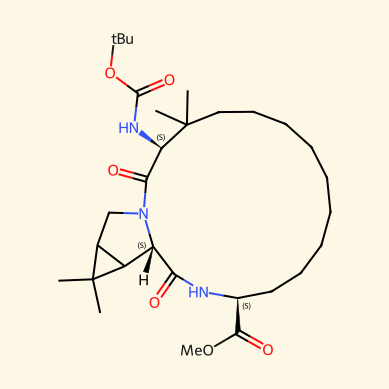 COC(=O)[C@@H]1CCCCCCCCCC(C)(C)[C@H](NC(=O)OC(C)(C)C)C(=O)N2CC3C([C@H]2C(=O)N1)C3(C)C